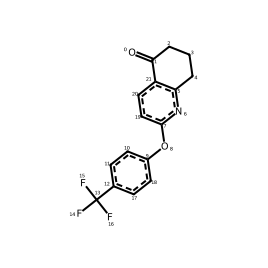 O=C1CCCc2nc(Oc3ccc(C(F)(F)F)cc3)ccc21